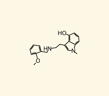 COc1ccccc1CNCCc1cn(C)c2cccc(O)c12